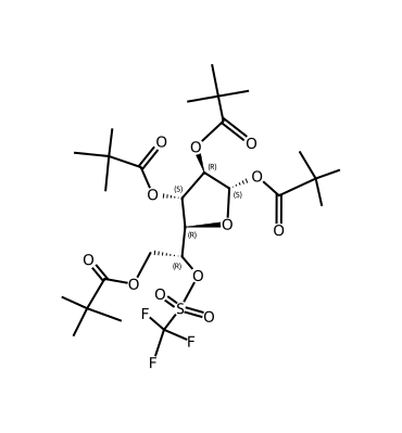 CC(C)(C)C(=O)OC[C@@H](OS(=O)(=O)C(F)(F)F)[C@@H]1O[C@@H](OC(=O)C(C)(C)C)[C@H](OC(=O)C(C)(C)C)[C@H]1OC(=O)C(C)(C)C